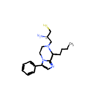 CCCCC1c2ncc(-c3ccccc3)n2CCN1C[C@@H](N)CS